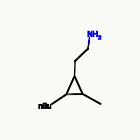 CCCCC1C(C)C1CCN